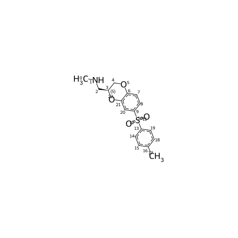 CNC[C@H]1COc2ccc(S(=O)(=O)c3ccc(C)cc3)cc2O1